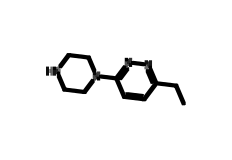 CCc1ccc(N2CCNCC2)nn1